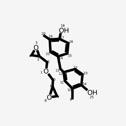 C(OCC1CO1)C1CO1.Cc1cc(Cc2ccc(O)c(C)c2)ccc1O